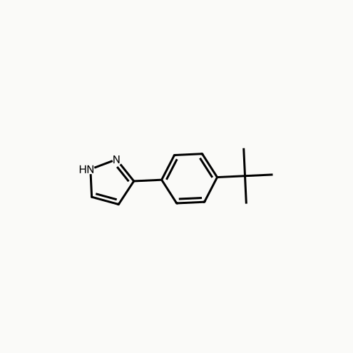 CC(C)(C)c1ccc(-c2cc[nH]n2)cc1